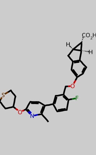 Cc1nc(OC2CCSCC2)ccc1-c1ccc(F)c(COc2ccc3c(c2)C[C@H]2[C@H](C(=O)O)[C@@H]32)c1